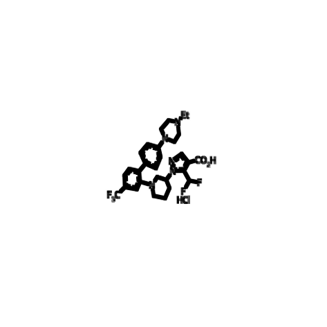 CCN1CCN(c2ccc(-c3ccc(C(F)(F)F)cc3N3CCCC(n4ncc(C(=O)O)c4C(F)F)C3)cc2)CC1.Cl